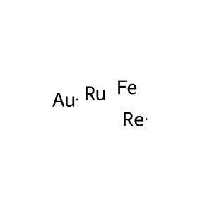 [Au].[Fe].[Re].[Ru]